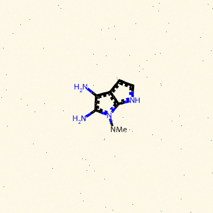 CNn1c(N)c(N)c2cc[nH]c21